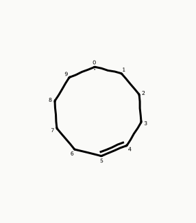 [CH]1CCC/C=C\CCCC1